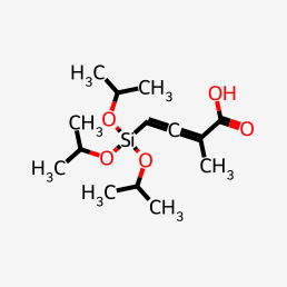 CC(=C=C[Si](OC(C)C)(OC(C)C)OC(C)C)C(=O)O